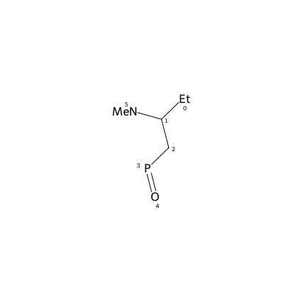 CCC(CP=O)NC